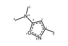 Cc1cc(N(C)C)on1